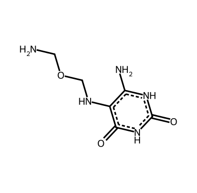 NCOCNc1c(N)[nH]c(=O)[nH]c1=O